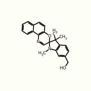 CN1c2cc(CO)ccc2C(C)(C)C12C=Nc1c(ccc3ccccc13)O2